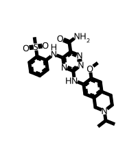 COc1cc2c(cc1Nc1nnc(C(N)=O)c(Nc3ccccc3S(C)(=O)=O)n1)CN(C(C)C)CC2